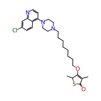 CC1=C(OCCCCCCCCN2CCN(c3ccnc4cc(Cl)ccc34)CC2)C(C)SC1=O